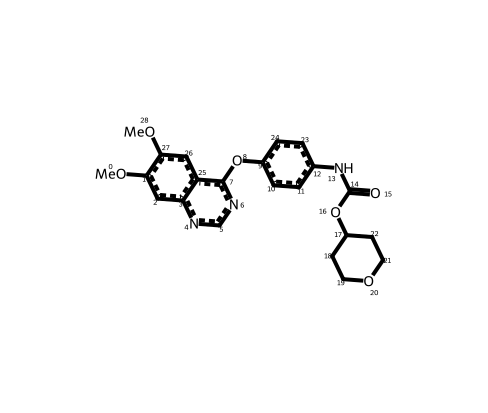 COc1cc2ncnc(Oc3ccc(NC(=O)OC4CCOCC4)cc3)c2cc1OC